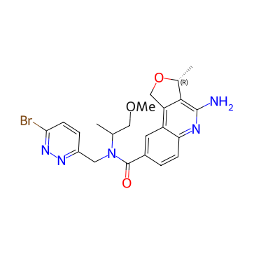 COCC(C)N(Cc1ccc(Br)nn1)C(=O)c1ccc2nc(N)c3c(c2c1)CO[C@@H]3C